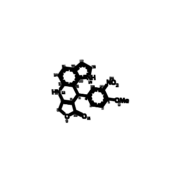 COc1ccc(C2C3=C(COC3=O)Nc3ccc4cc[nH]c4c32)cc1[N+](=O)[O-]